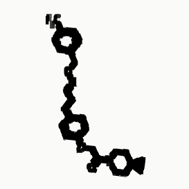 O=C(COc1ccc(CCC=NOCc2ccc(C(F)(F)F)cc2)cc1)N1CCC2(CC1)CC2